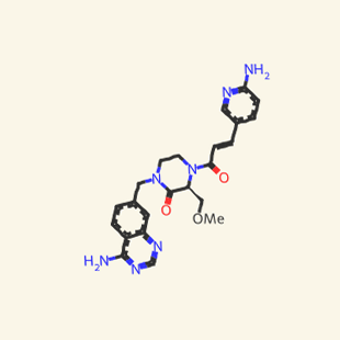 COC[C@H]1C(=O)N(Cc2ccc3c(N)ncnc3c2)CCN1C(=O)C=Cc1ccc(N)nc1